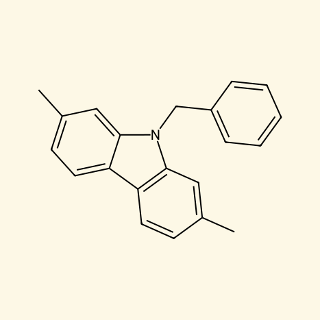 Cc1ccc2c3ccc(C)cc3n(Cc3ccccc3)c2c1